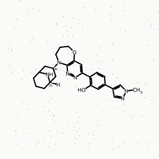 Cn1cc(-c2ccc(-c3cc4c(nn3)N([C@@H]3CC5CCC[C@@H](C3)N5)CCCO4)c(O)c2)cn1